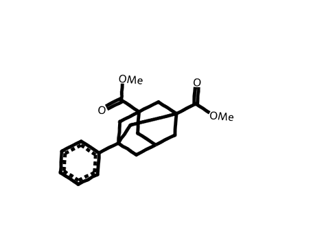 COC(=O)C12CC3CC(C(=O)OC)(C1)CC(c1ccccc1)(C3)C2